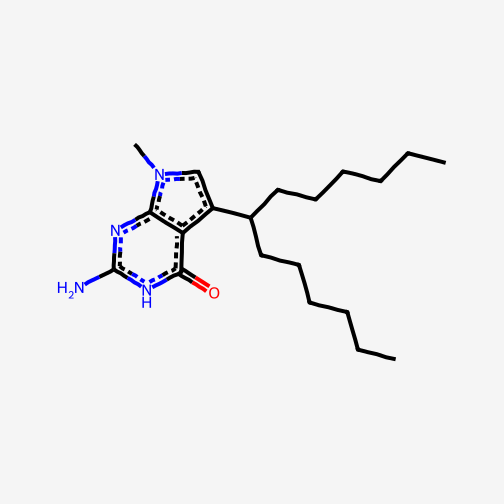 CCCCCCC(CCCCCC)c1cn(C)c2nc(N)[nH]c(=O)c12